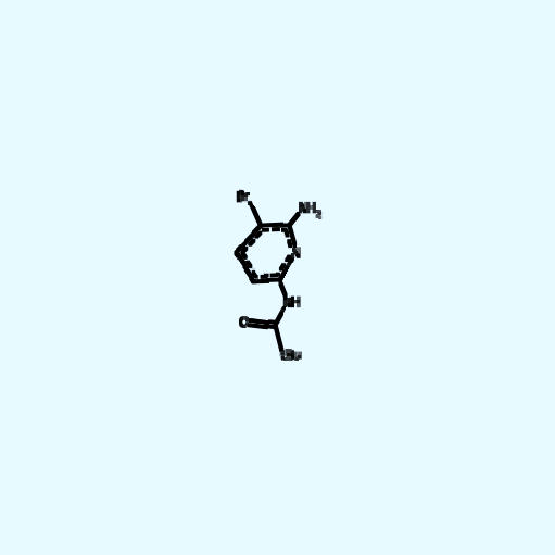 CC(C)(C)C(=O)Nc1ccc(Br)c(N)n1